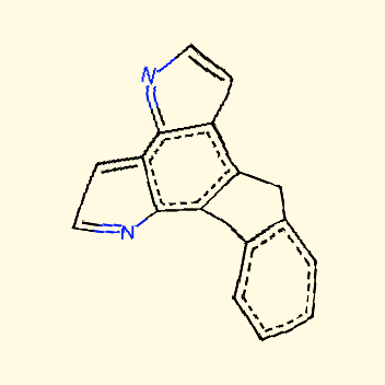 C1=Cc2c3c(c4c(c2=N1)=CC=N4)-c1ccccc1C3